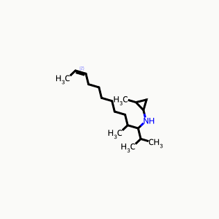 C/C=C\CCCCCCC(C)C(NC1CC1C)C(C)C